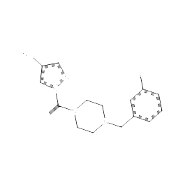 Cc1cccc(CN2CCN(C(=O)n3cc(C#N)cn3)CC2)c1